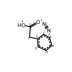 N#N.O=C(O)Cc1ccccc1